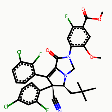 COC(=O)c1cc(OC)c(N2CN3C(=C(c4cccc(Cl)c4F)[C@@](C#N)(c4ccc(Cl)cc4F)[C@@H]3CC(C)(C)C)C2=O)cc1F